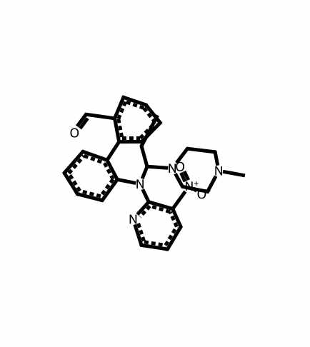 CCC(N1CCN(C)CC1)N(c1ccccc1-c1ccccc1C=O)c1ncccc1[N+](=O)[O-]